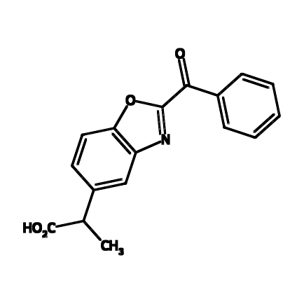 CC(C(=O)O)c1ccc2oc(C(=O)c3ccccc3)nc2c1